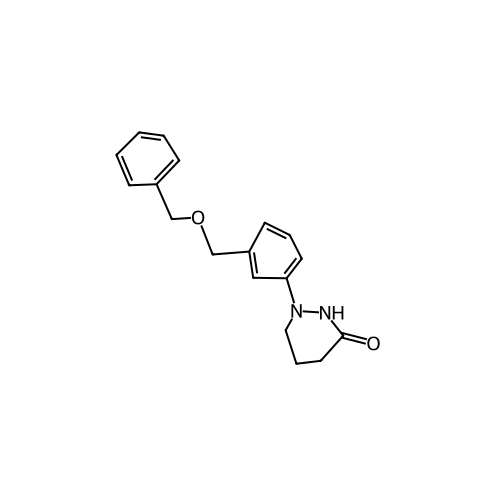 O=C1CCCN(c2cccc(COCc3ccccc3)c2)N1